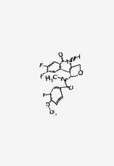 CN(C(=O)c1ccc(OC(F)(F)F)c(F)c1)C1COCc2[nH]c(=O)c3cc(F)c(F)cc3c21